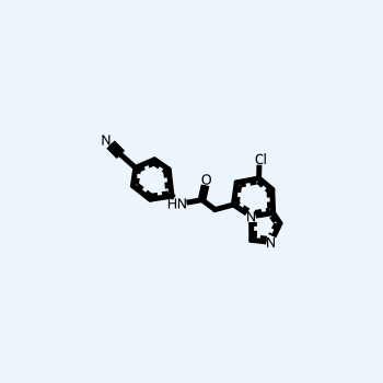 N#Cc1ccc(NC(=O)Cc2cc(Cl)cc3cncn23)cc1